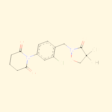 CC1(C)CON(Cc2ccc(N3C(=O)CCCC3=O)cc2Cl)C1=O